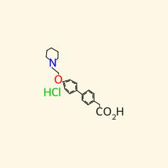 Cl.O=C(O)Cc1ccc(-c2ccc(OCCN3CCCCC3)cc2)cc1